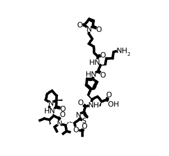 CC[C@H](C)[C@H](NC(=O)[C@@]1(C)CCCCN1C)C(=O)N(CC)[C@H](C[C@@H](OC(C)=O)c1nc(C(=O)N[C@@H](Cc2ccc(NC(=O)[C@H](CCCCN)NC(=O)CCCCCN3C(=O)C=CC3=O)cc2)C[C@H](C)C(=O)O)cs1)C(C)C